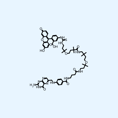 CC(C)(CCOC(C)(C)CCNC(=O)CCCNC(=O)c1ccc(NCc2cnc3nc(N)[nH]c(=O)c3n2)cc1)CNC(=O)C(C)(C)CCOC(C)(C)CCNC(=S)Nc1ccc(-c2c3ccc(=O)cc-3oc3cc(O)ccc23)c(C(=O)O)c1